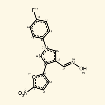 O=[N+]([O-])c1ccc(-c2nn(-c3ccc(F)cc3)cc2C=NO)o1